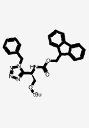 CC(C)(C)OC[C@H](NC(=O)OCC1c2ccccc2-c2ccccc21)c1nnnn1Cc1ccccc1